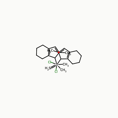 CC1=CC2=C(CCCC2)[CH]1[Zr]([CH3])([CH3])(=[SiH2])([Cl])([Cl])[CH]1C(C)=CC2=C1CCCC2